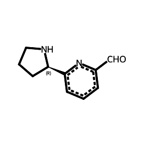 O=Cc1cccc([C@H]2CCCN2)n1